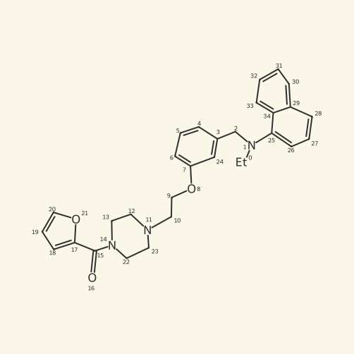 CCN(Cc1cccc(OCCN2CCN(C(=O)c3ccco3)CC2)c1)c1cccc2ccccc12